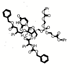 CC(C)OC(=O)OCOP(=O)(OCOC(=O)OC(C)C)OC[C@@]1(CF)O[C@@H](n2ccc(=O)[nH]c2=O)[C@](C)(OCC(CC(=O)OCc2ccccc2)C(C)C)[C@@H]1OC(=O)C(NC(=O)OCc1ccccc1)C(C)C